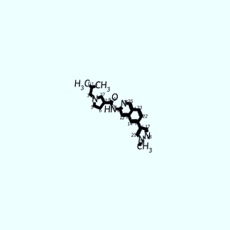 CC(C)CN1CCC(C(=O)Nc2cc3cc(-c4cnn(C)c4)ccc3cn2)C1